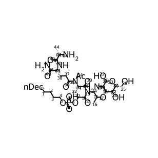 CCCCCCCCCCCCCCOP(=O)(O)OCC(=O)N(CC(C)O[C@@H]1[C@@H](N)[C@@H](O)O[C@H](CO)[C@H]1O)C(=O)[C@H](C)N(C(C)=O)C(=O)CC[C@@H](NC(=O)[C@H](C)N)C(N)=O